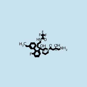 CCc1cccc(-c2c(F)cccc2[C@](O)(CCCNC(=O)C(F)(F)F)[C@@H]2CCCN(C(=O)C[C@H](O)CN)C2)c1